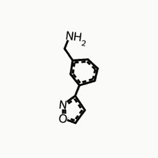 NCc1cccc(-c2ccon2)c1